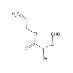 C=CCOC(=O)C(O[C]=O)C(C)C